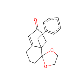 O=C1C=C2CCCC3(OCCO3)C2(Cc2ccccc2)CC1